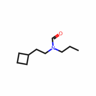 CCCN(C=O)CCC1CCC1